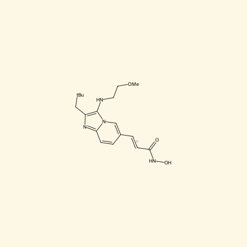 COCCNc1c(CC(C)(C)C)nc2ccc(/C=C/C(=O)NO)cn12